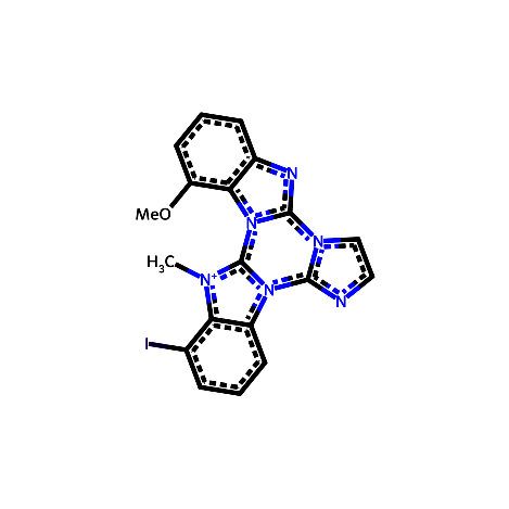 COc1cccc2nc3n4ccnc4n4c5cccc(I)c5[n+](C)c4n3c12